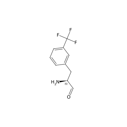 N[C@H](C=O)Cc1cccc(C(F)(F)F)c1